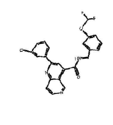 O=C(NCc1cccc(OC(F)F)c1)c1cc(-c2cccc(Cl)c2)nc2ccncc12